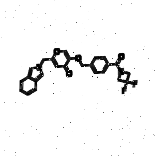 O=C(c1ccc(COc2coc(Cn3cc4ccccc4c3)cc2=O)cc1)N1CC(F)(F)C1